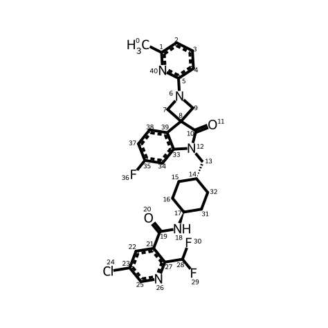 Cc1cccc(N2CC3(C2)C(=O)N(C[C@H]2CC[C@H](NC(=O)c4cc(Cl)cnc4C(F)F)CC2)c2cc(F)ccc23)n1